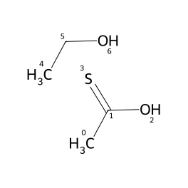 CC(O)=S.CCO